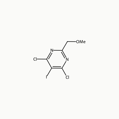 COCc1nc(Cl)c(I)c(Cl)n1